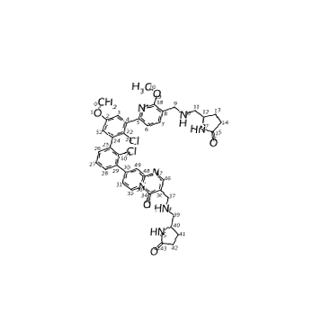 COc1cc(-c2ccc(CNCC3CCC(=O)N3)c(OC)n2)c(Cl)c(-c2cccc(-c3ccn4c(=O)c(CNCC5CCC(=O)N5)cnc4c3)c2Cl)c1